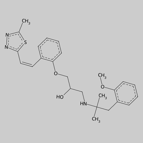 COc1ccccc1CC(C)(C)NCC(O)COc1ccccc1/C=C\c1nnc(C)s1